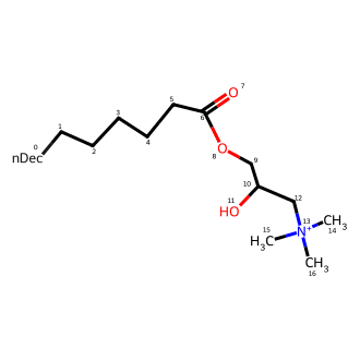 CCCCCCCCCCCCCCCC(=O)OCC(O)C[N+](C)(C)C